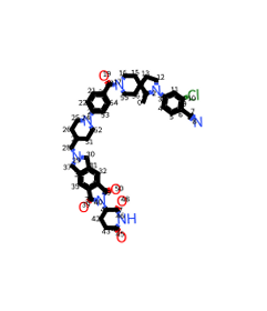 CC1N(c2ccc(C#N)c(Cl)c2)CCC12CCN(C(=O)c1ccc(N3CCC(CN4Cc5cc6c(cc5C4)C(=O)N(C4CCC(=O)NC4=O)C6=O)CC3)cc1)CC2